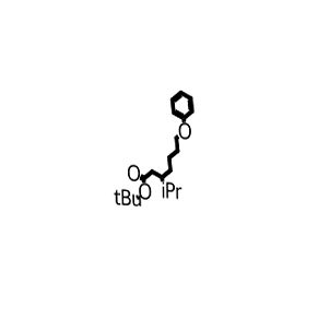 CC(C)C(CCCCOc1ccccc1)CC(=O)OC(C)(C)C